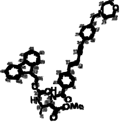 COC(=O)[C@@H](NC(=O)c1ccc(C=CC#Cc2ccc(CN3CCOCC3)cc2)cc1)[C@@H](C)NC(=O)OCC1c2ccccc2-c2ccccc21